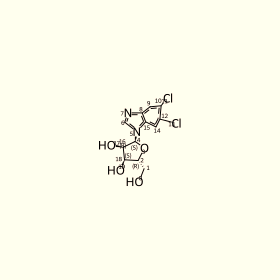 OC[C@H]1O[C@H](n2cnc3cc(Cl)c(Cl)cc32)[C@H](O)[C@@H]1O